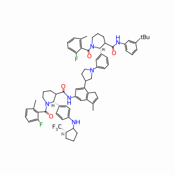 CC1=CCc2c1cc(NC(=O)C1CCCN(C(=O)c3c(C)cccc3F)[C@H]1c1ccc(NC3CCC[C@@H]3C(F)(F)F)cc1)cc2C1CCN(c2cccc([C@H]3C(C(=O)Nc4cccc(C(C)(C)C)c4)CCCN3C(=O)c3c(C)cccc3F)c2)C1